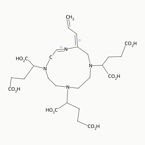 C=C/C=C1CN(C(CCC(=O)O)C(=O)O)CCN(C(CCC(=O)O)C(=O)O)CCN(C(CCC(=O)O)C(=O)O)C/C=N/1